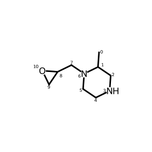 CC1CNCCN1CC1CO1